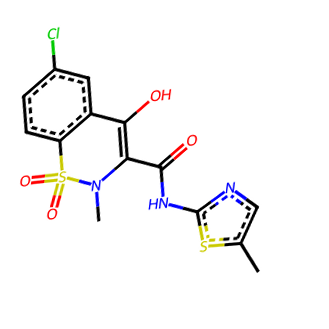 Cc1cnc(NC(=O)C2=C(O)c3cc(Cl)ccc3S(=O)(=O)N2C)s1